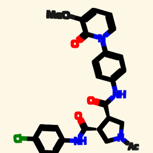 COc1cccn(-c2ccc(NC(=O)[C@H]3CN(C(C)=O)C[C@@H]3C(=O)Nc3ccc(Cl)cc3)cc2)c1=O